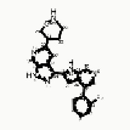 Fc1ccccc1-c1cncc2[nH]c(-c3n[nH]c4cnc(C5CCNCC5)cc34)cc12